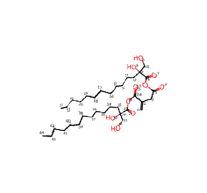 C=C(CC(=O)OC(=O)C(O)(CO)CCCCCCCCCCCC)C(=O)OC(=O)C(O)(CO)CCCCCCCCCCCC